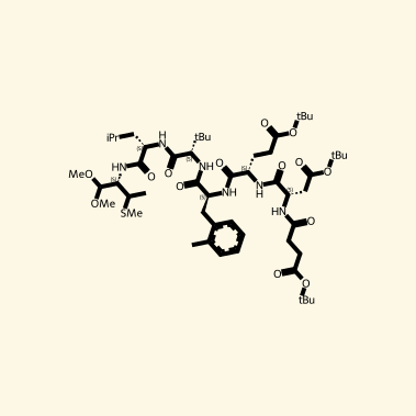 COC(OC)[C@H](NC(=O)[C@H](CC(C)C)NC(=O)[C@@H](NC(=O)[C@H](Cc1ccccc1C)NC(=O)[C@H](CCC(=O)OC(C)(C)C)NC(=O)[C@H](CC(=O)OC(C)(C)C)NC(=O)CCC(=O)OC(C)(C)C)C(C)(C)C)C(C)SC